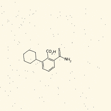 NC(=S)c1cccc(C2CCCCC2)c1C(=O)O